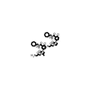 Cc1cn(-c2ccc(Cl)c(C(=O)NCC3(O)CCCCCC3)c2)c(=O)n1CC(O)CN.NCC(O)Cn1ccn(-c2ccc(Cl)c(C(=O)NCC3(O)CCCCCC3)c2)c1=O